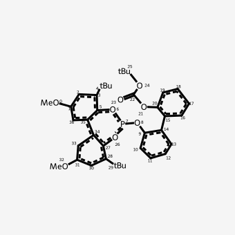 COc1cc(C(C)(C)C)c2op(Oc3ccccc3-c3ccccc3OC(=O)OC(C)(C)C)oc3c(C(C)(C)C)cc(OC)cc3c2c1